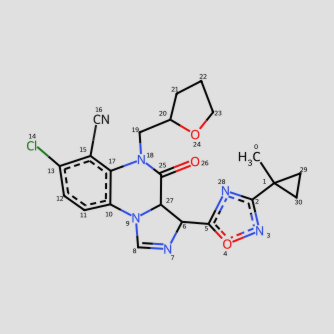 CC1(c2noc(C3N=CN4c5ccc(Cl)c(C#N)c5N(CC5CCCO5)C(=O)C34)n2)CC1